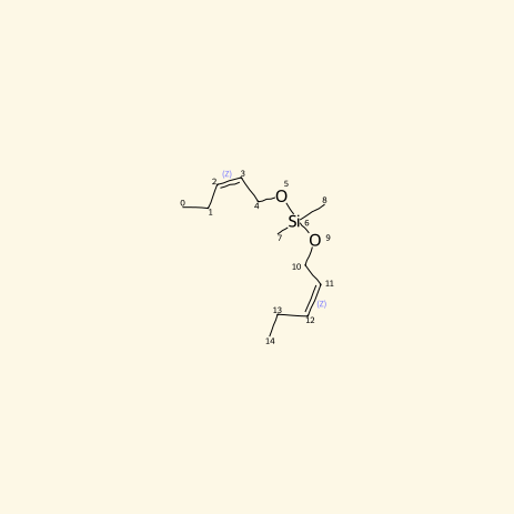 CC/C=C\CO[Si](C)(C)OC/C=C\CC